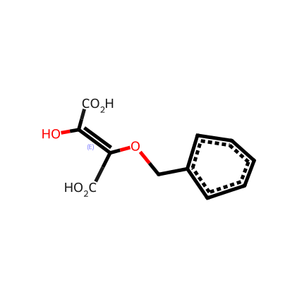 O=C(O)/C(O)=C(\OCc1ccccc1)C(=O)O